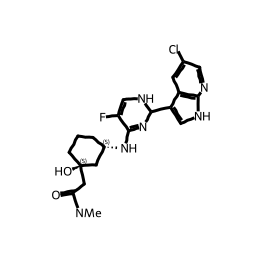 CNC(=O)C[C@]1(O)CCC[C@H](NC2=NC(c3c[nH]c4ncc(Cl)cc34)NC=C2F)C1